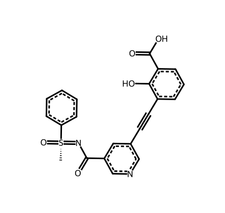 C[S@@](=O)(=NC(=O)c1cncc(C#Cc2cccc(C(=O)O)c2O)c1)c1ccccc1